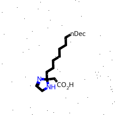 CCCCCCCCCCCCCCCCCC1(CC(=O)O)N=CCN1